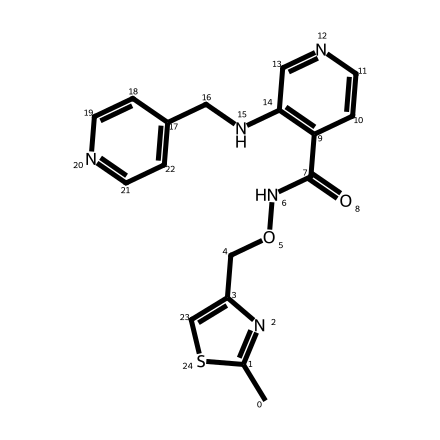 Cc1nc(CONC(=O)c2ccncc2NCc2ccncc2)cs1